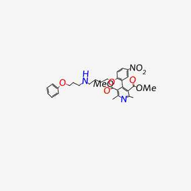 COC(=O)c1c(C)nc(C)c(C(=O)OC)c1-c1cc([N+](=O)[O-])ccc1OCCCCNCCCOc1ccccc1